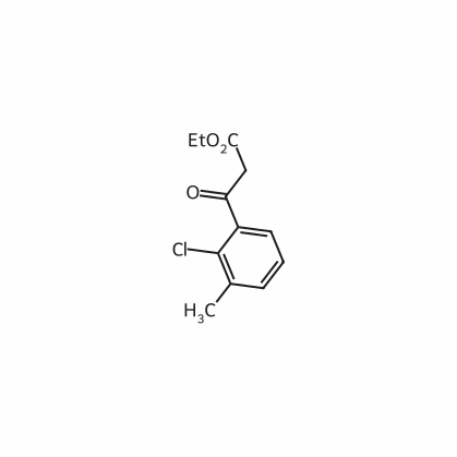 CCOC(=O)CC(=O)c1cccc(C)c1Cl